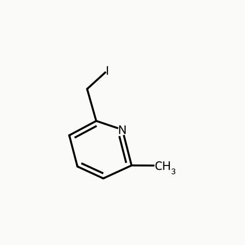 Cc1cccc(CI)n1